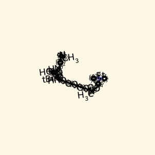 CC/C(=C(\c1ccccc1)c1ccc(OCCN(C)C(=O)COCCOCCOCCOCCOCC(=O)N[C@H](C(=O)N2C[C@H](O)C[C@H]2C(=O)NCc2ccc(-c3scnc3C)cc2)C(C)(C)C)cc1)c1ccccc1